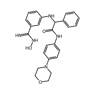 N=C(NO)c1cccc(NC(C(=O)Nc2ccc(N3CCOCC3)cc2)c2ccccc2)c1